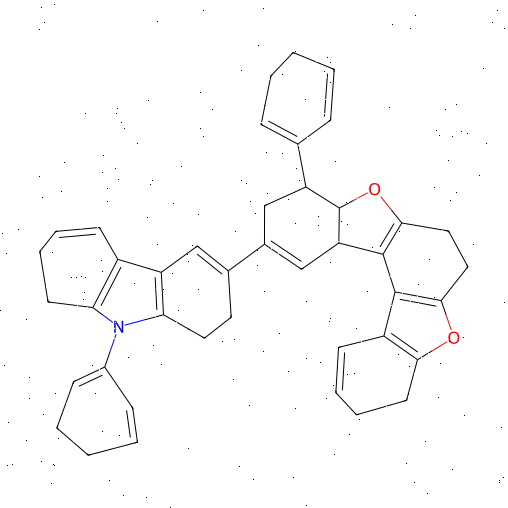 C1=CC(C2CC(C3=Cc4c5c(n(C6=CCCC=C6)c4CC3)CCC=C5)=CC3C4=C(CCc5oc6c(c54)C=CCC6)OC32)=CCC1